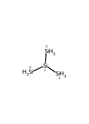 [SiH3][Si]([SiH3])[SiH3]